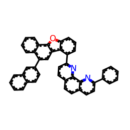 c1ccc(-c2ccc3ccc4ccc(-c5cccc6oc7c8ccccc8c(-c8ccc9ccccc9c8)cc7c56)nc4c3n2)cc1